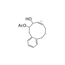 CC(=O)OC1Cc2ccccc2C[CH]C/C=C\C1O